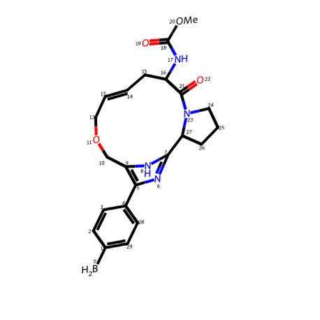 Bc1ccc(-c2nc3[nH]c2COC/C=C/CC(NC(=O)OC)C(=O)N2CCCC32)cc1